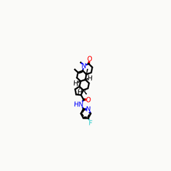 CC1=C2N(C)C(=O)CC[C@]2(C)[C@@H]2CC[C@]3(C)C(C(=O)Nc4ccc(F)cn4)CC[C@H]3[C@@H]2C1